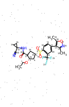 CCO[C@H]1C[C@@H](S(=O)(=O)c2ccc(-c3c(C)noc3C)cc2C(F)(F)F)C[C@@H]1C(=O)NC1(C#N)CC1